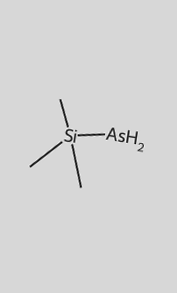 C[Si](C)(C)[AsH2]